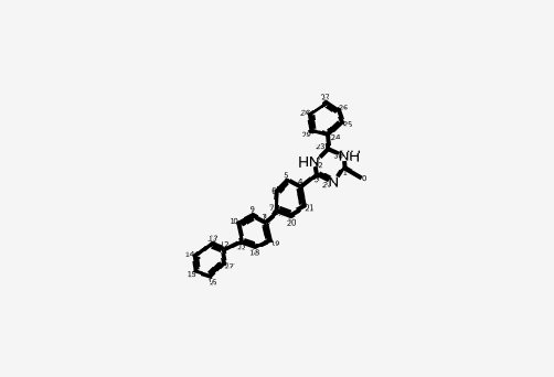 CC1N=C(c2ccc(-c3ccc(-c4ccccc4)cc3)cc2)NC(c2ccccc2)N1